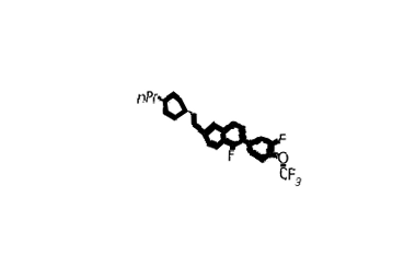 CCC[C@H]1CC[C@H](CCc2ccc3c(F)c(-c4ccc(OC(F)(F)F)c(F)c4)ccc3c2)CC1